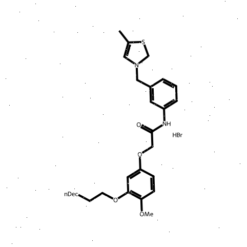 Br.CCCCCCCCCCCCOc1cc(OCC(=O)Nc2cccc(CN3C=C(C)SC3)c2)ccc1OC